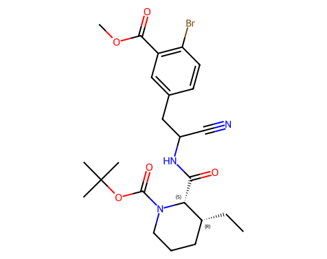 CC[C@@H]1CCCN(C(=O)OC(C)(C)C)[C@@H]1C(=O)NC(C#N)Cc1ccc(Br)c(C(=O)OC)c1